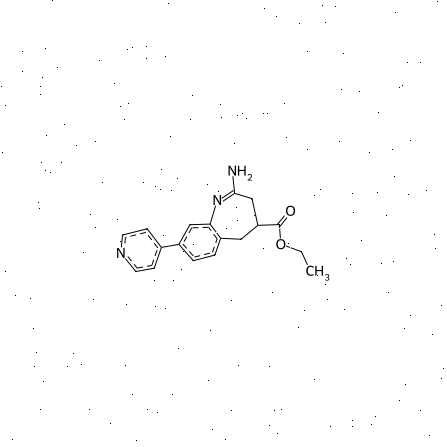 CCOC(=O)C1CC(N)=Nc2cc(-c3ccncc3)ccc2C1